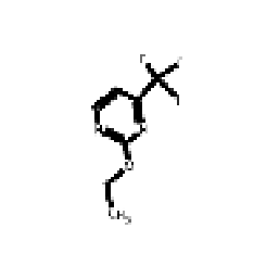 CCOc1nccc(C(F)(F)F)n1